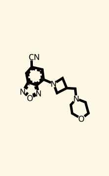 N#Cc1cc(N2CC(CN3CCOCC3)C2)c2nonc2c1